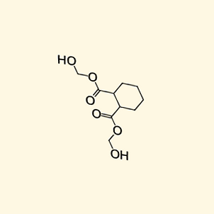 O=C(OCO)C1CCCCC1C(=O)OCO